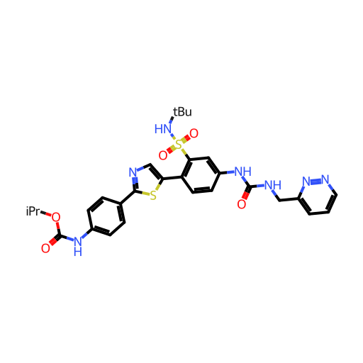 CC(C)OC(=O)Nc1ccc(-c2ncc(-c3ccc(NC(=O)NCc4cccnn4)cc3S(=O)(=O)NC(C)(C)C)s2)cc1